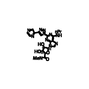 CCCNc1nc(-n2cc(-c3cnccn3)nn2)nc2c1ncn2[C@@H]1OC(C(=O)NC)[C@@H](O)[C@H]1O